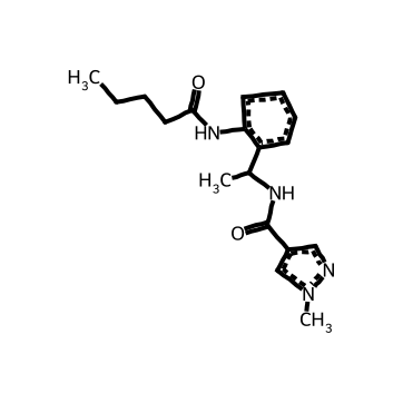 CCCCC(=O)Nc1ccccc1C(C)NC(=O)c1cnn(C)c1